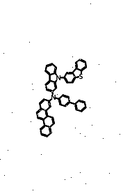 c1ccc(-c2ccc(N(c3ccc4ccc5c6ccccc6ccc5c4c3)c3ccc4c5ccccc5n(-c5ccc6sc7ccccc7c6c5)c4c3)cc2)cc1